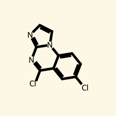 Clc1ccc2c(c1)c(Cl)nc1nccn12